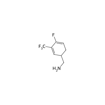 NCC1C=C(C(F)(F)F)C(F)=CC1